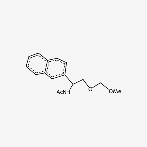 COCOCC(NC(C)=O)c1ccc2ccccc2c1